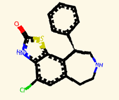 O=c1[nH]c2c(Cl)cc3c(c2s1)[C@@H](c1ccccc1)CNCC3